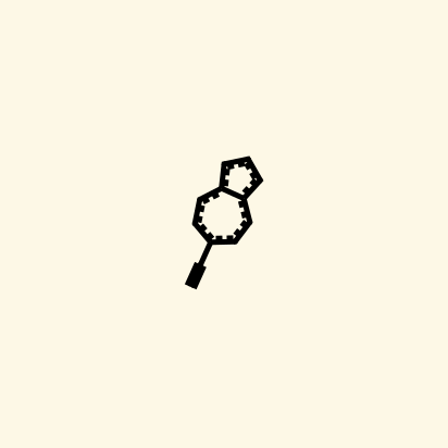 C#Cc1ccc2cccc-2cc1